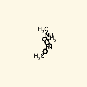 CCCN[C@H]1CCC2=Cc3c(cnn3-c3ccc(C)cc3)C[C@@]21C